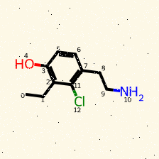 CCc1c(O)ccc(CCN)c1Cl